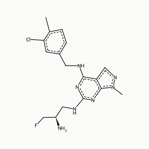 Cc1ccc(CNc2nc(NC[C@@H](N)CF)nc3c2cnn3C)cc1Cl